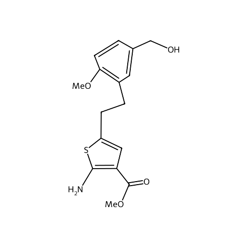 COC(=O)c1cc(CCc2cc(CO)ccc2OC)sc1N